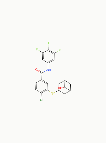 O=C(Nc1cc(F)c(F)c(F)c1)c1ccc(Cl)c(SC2CC3CC(C2)C3O)c1